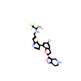 CC(NCc1cc2nccc(-c3cc(Cl)cc4c3O[C@@H](c3onc5c3CNCC5)C4)c2s1)C(F)(F)F